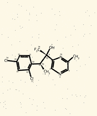 Cc1cncc([C@@](O)([C@@H](C)c2ccc(Cl)cc2Cl)C(F)(F)F)n1